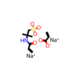 C=CC(=O)NC(C)(C)CS(=O)(=O)[O-].C=CC(=O)[O-].[Na+].[Na+]